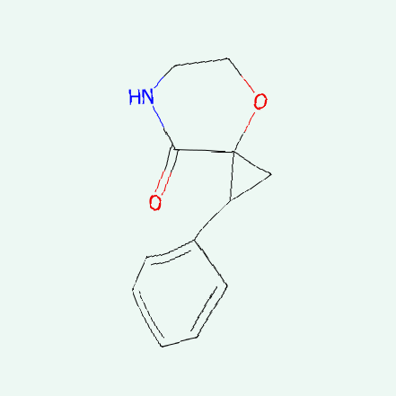 O=C1NCCOC12CC2c1ccccc1